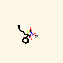 C#CCCCC1(c2ccccc2)SC(=O)N(OC(F)(F)F)C1=O